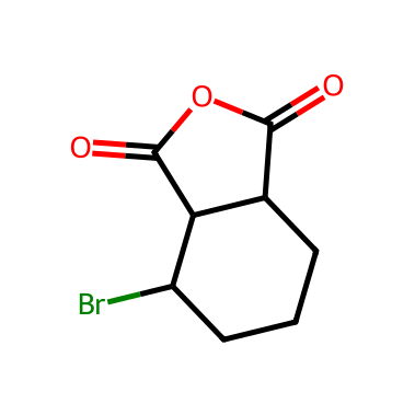 O=C1OC(=O)C2C(Br)CCCC12